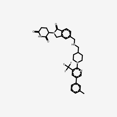 Cc1cccc(-c2cnc(N3CCC(CNCc4ccc5c(c4)CN(C4CCC(=O)NC4=O)C5=O)CC3)c(C(F)(F)F)c2)c1